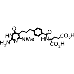 CNc1nc(N)[nH]c(=O)c1CCCc1ccc(C(=O)N[C@@H](CCC(=O)O)C(=O)O)cc1